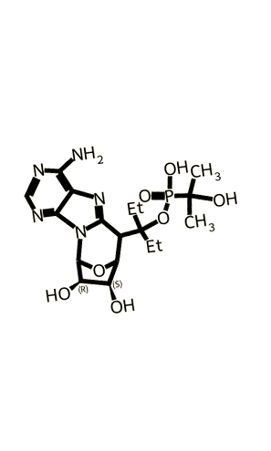 CCC(CC)(OP(=O)(O)C(C)(C)O)C1c2nc3c(N)ncnc3n2C2OC1[C@@H](O)[C@H]2O